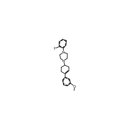 COc1cccc(C2=CCC(N3CCN(c4ccccc4F)CC3)CC2)c1